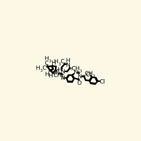 C[C@H]1[C@@H](NC(=Nc2ccc3c(=O)n([C@H](C)Cc4ccc(Cl)cc4Cl)cnc3c2)N2C[C@@H](C)N[C@@H](C)C2)C[C@@H]2C[C@@H]1C2(C)C